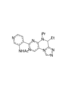 CCC1c2nncn2-c2cnc(-c3ccncc3NC(C)=O)nc2N1C(C)C